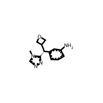 Cn1cnnc1[C@@H](c1cccc(N)c1)C1COC1